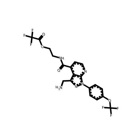 NCc1nn(-c2ccc(OC(F)(F)F)cc2)c2nccc(C(=O)NCCOC(=O)C(F)(F)F)c12